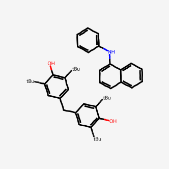 CC(C)(C)c1cc(Cc2cc(C(C)(C)C)c(O)c(C(C)(C)C)c2)cc(C(C)(C)C)c1O.c1ccc(Nc2cccc3ccccc23)cc1